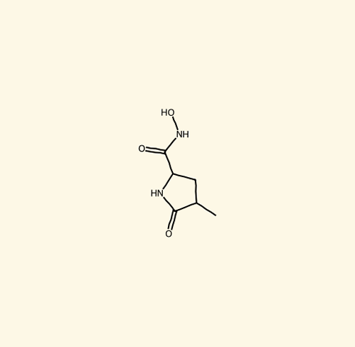 CC1CC(C(=O)NO)NC1=O